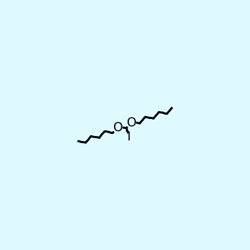 CCCCCCO[C](I)OCCCCCC